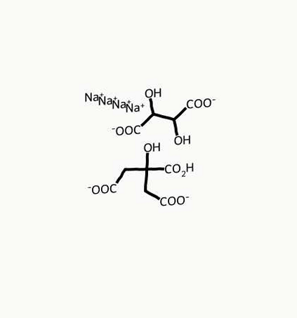 O=C([O-])C(O)C(O)C(=O)[O-].O=C([O-])CC(O)(CC(=O)[O-])C(=O)O.[Na+].[Na+].[Na+].[Na+]